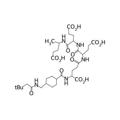 CC(CCC(=O)O)NC(=O)C(CCC(=O)O)NC(=O)C(CCC(=O)O)NC(=O)CCC(NC(=O)C1CCC(CNC(=O)CC(C)(C)C)CC1)C(=O)O